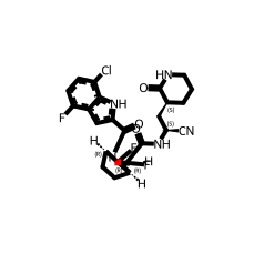 N#C[C@H](C[C@@H]1CCCNC1=O)NC(=O)[C@H]1[C@H]2CC[C@H](CC2(F)F)N1C(=O)c1cc2c(F)ccc(Cl)c2[nH]1